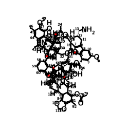 COc1ccc2[nH]c3c(c2c1)C[C@@H](CN)N[C@]31CS[C@@H]2c3c(OC(C)=O)c(C)c4c(c3[C@H](COC1=O)N1[C@@H]2[C@@H]2N[C@@H](C(C)c3cc(C)c(OC)c(O)c32)[C@@H]1O)OC(c1cccc2[nH]c3c(c12)C[C@H](CN)N[C@]31CS[C@@H]2c3c(OC(C)=O)c(C)c5c(c3[C@H](COC1=O)N1[C@@H]2[C@@H]2N[C@@H](C(C)c3cc(C)c(OC)c(O)c32)[C@@H]1O)OCO5)O4